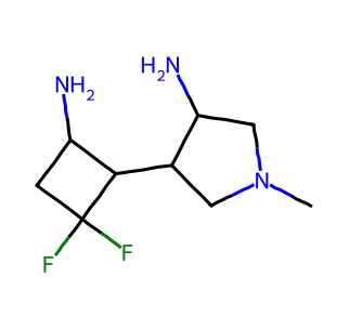 CN1CC(N)C(C2C(N)CC2(F)F)C1